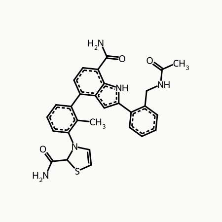 CC(=O)NCc1ccccc1-c1cc2c(-c3cccc(N4C=CSC4C(N)=O)c3C)ccc(C(N)=O)c2[nH]1